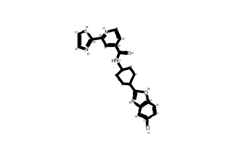 O=C(NC1CCC(c2nc3cc(Cl)ccc3o2)CC1)c1ccnc(-c2nccs2)c1